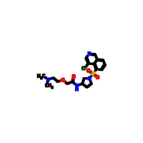 CN(C)CCOCC(=O)NC1CCN(S(=O)(=O)c2cccc3cncc(Cl)c23)C1